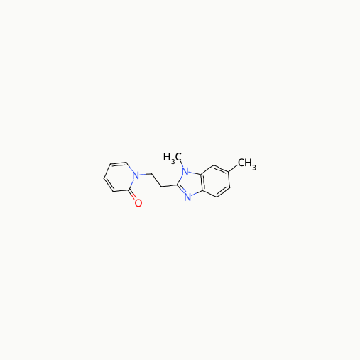 Cc1ccc2nc(CCn3ccccc3=O)n(C)c2c1